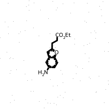 CCOC(=O)CCc1cc2cc(N)ccc2o1